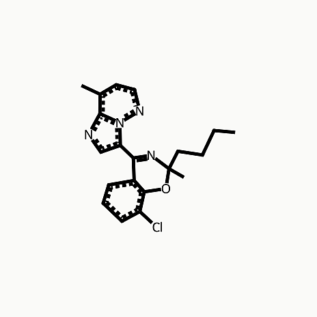 CCCCC1(C)N=C(c2cnc3c(C)ccnn23)c2cccc(Cl)c2O1